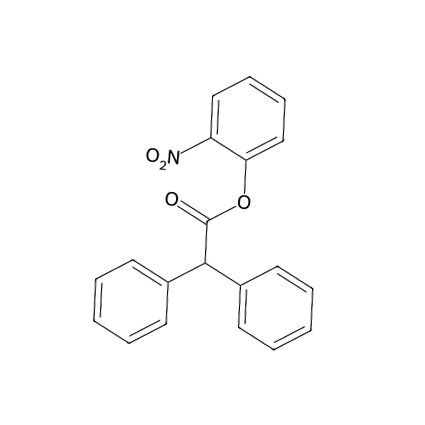 O=C(Oc1ccccc1[N+](=O)[O-])C(c1ccccc1)c1ccccc1